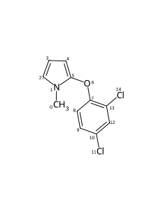 Cn1[c]ccc1Oc1ccc(Cl)cc1Cl